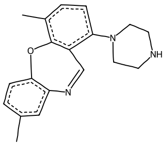 Cc1ccc2c(c1)N=Cc1c(N3CCNCC3)ccc(C)c1O2